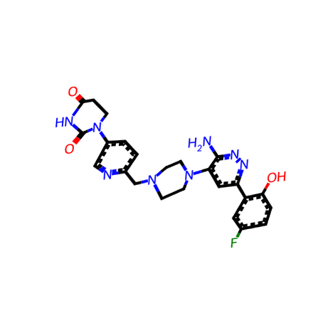 Nc1nnc(-c2cc(F)ccc2O)cc1N1CCN(Cc2ccc(N3CCC(=O)NC3=O)cn2)CC1